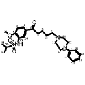 COc1ccc(C(=O)CCCCN2CCN(c3ccccc3)CC2)cc1NS(=O)(=O)C(C)C